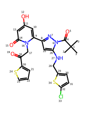 CC(C)(C)C(=O)n1nc(-c2cc(O)cc(=O)n2CC(=O)c2cccs2)cc1NCc1ccc(Cl)s1